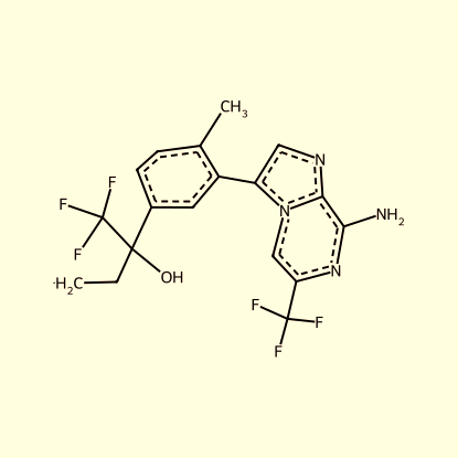 [CH2]CC(O)(c1ccc(C)c(-c2cnc3c(N)nc(C(F)(F)F)cn23)c1)C(F)(F)F